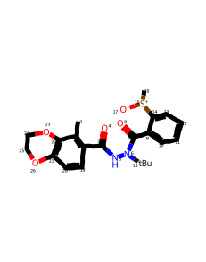 Cc1c(C(=O)NN(C(=O)c2ccccc2[S+](C)[O-])C(C)(C)C)ccc2c1OCCO2